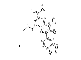 CCCc1cc(C(=O)OC)ccc1OC(C(=O)OCC)c1ccc2c(c1)OCO2